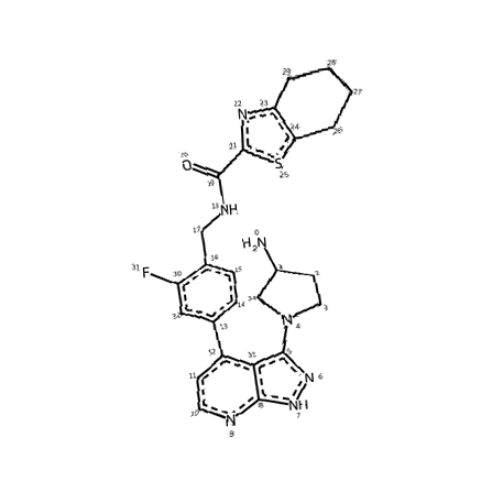 NC1CCN(c2n[nH]c3nccc(-c4ccc(CNC(=O)c5nc6c(s5)CCCC6)c(F)c4)c23)C1